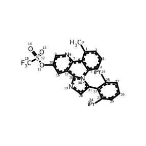 Cc1cccc2c1c1ncc(OS(=O)(=O)C(F)(F)F)cc1c1ncc(-c3c(C(C)C)cccc3C(C)C)n21